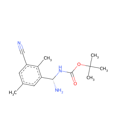 Cc1cc(C#N)c(C)c([C@@H](N)NC(=O)OC(C)(C)C)c1